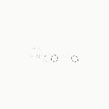 CN(Cc1ccc(OCCc2ccccc2)cc1)C(=O)C(N)CO